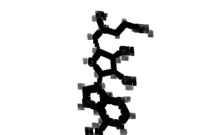 CC(C)N(CCN)C[C@H]1O[C@@H](n2cnc3c(N)ncnc32)[C@H](O)[C@@H]1O